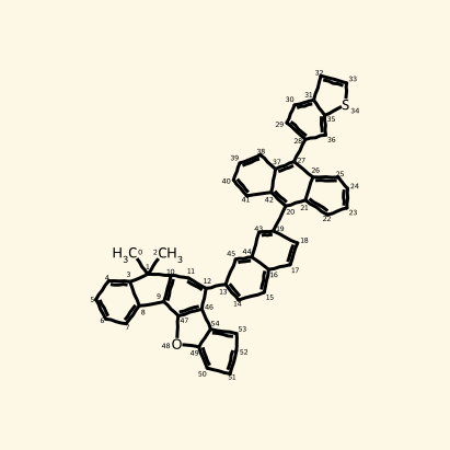 CC1(C)c2ccccc2-c2c1cc(-c1ccc3ccc(-c4c5ccccc5c(-c5ccc6ccsc6c5)c5ccccc45)cc3c1)c1c2oc2ccccc21